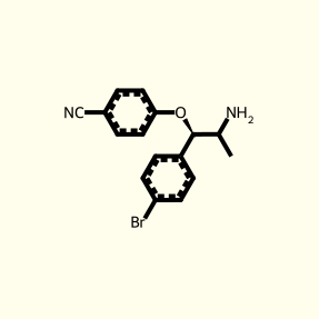 CC(N)[C@H](Oc1ccc(C#N)cc1)c1ccc(Br)cc1